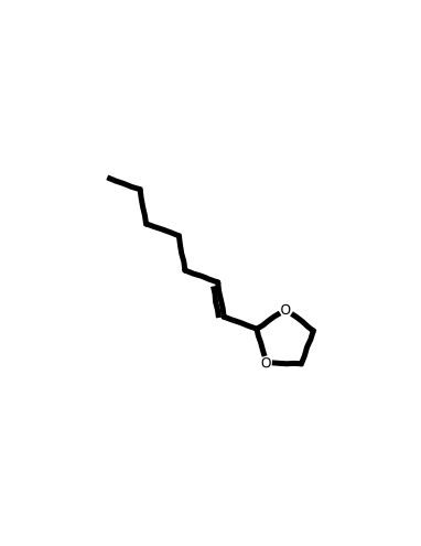 CCCCCC=CC1OCCO1